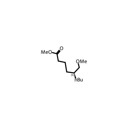 CCCC[C@@H](CCCC(=O)OC)COC